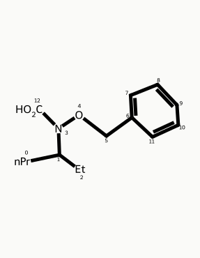 CCCC(CC)N(OCc1ccccc1)C(=O)O